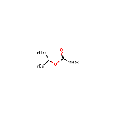 CCCCCCC(=O)OC(CCCC)CCCCCC